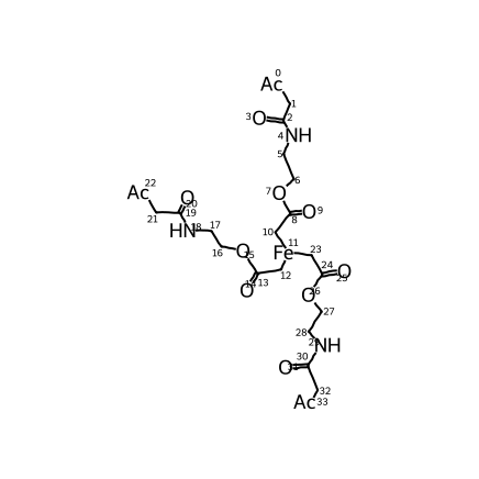 CC(=O)CC(=O)NCCOC(=O)[CH2][Fe]([CH2]C(=O)OCCNC(=O)CC(C)=O)[CH2]C(=O)OCCNC(=O)CC(C)=O